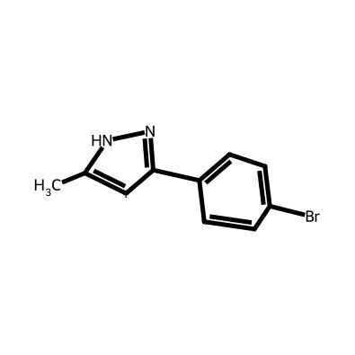 Cc1[c]c(-c2ccc(Br)cc2)n[nH]1